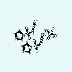 O=S(=O)([O-])[O-].[N-]=[N+]=NS(=O)(=O)[N+]1=CC=NC1.[N-]=[N+]=NS(=O)(=O)[N+]1=CC=NC1